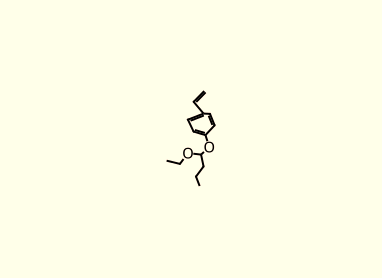 C=Cc1ccc(OC(CCC)OCC)cc1